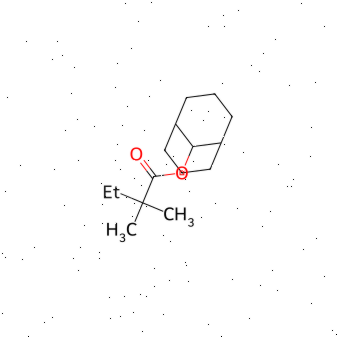 CCC(C)(C)C(=O)OC1C2CCCC1CCC2